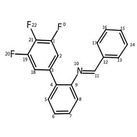 Fc1cc(-c2ccccc2N=Cc2ccccc2)cc(F)c1F